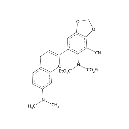 CCOC(=O)N(C(=O)OCC)c1c(C2=CCc3ccc(N(C)C)cc3O2)cc2c(c1C#N)OCO2